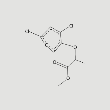 COC(=O)C(C)Oc1ccc(Cl)cc1Cl